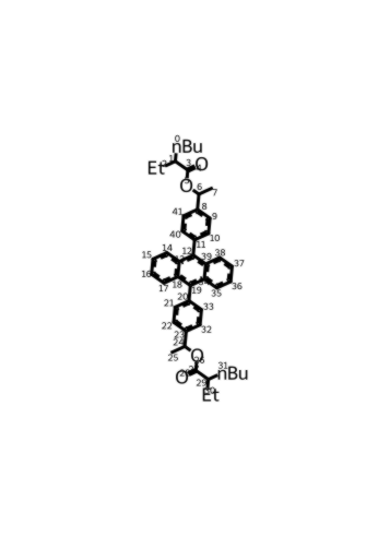 CCCCC(CC)C(=O)OC(C)c1ccc(-c2c3ccccc3c(-c3ccc(C(C)OC(=O)C(CC)CCCC)cc3)c3ccccc23)cc1